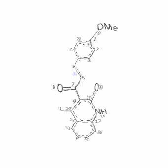 COc1ccc(/C=C/C(=O)c2c(C)c3ccccc3[nH]c2=O)cc1